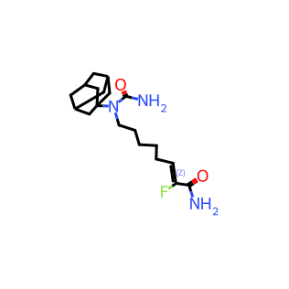 NC(=O)/C(F)=C/CCCCCN(C(N)=O)C12CC3CC(CC(C3)C1)C2